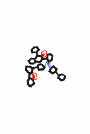 c1ccc(-c2ccc(N(c3ccc(-c4cccc5c4oc4ccccc45)cc3)c3cccc4oc5c(-c6ccccc6)c6ccccc6cc5c34)cc2)cc1